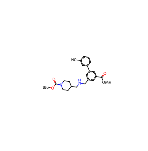 COC(=O)c1cc(CNCC2CCN(C(=O)OC(C)(C)C)CC2)cc(-c2cccc(C#N)c2)c1